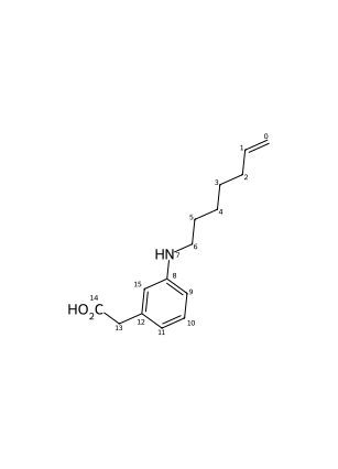 C=CCCCCCNc1cccc(CC(=O)O)c1